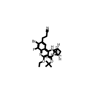 CCOc1nc2c(F)c(Br)c(CCC#N)cc2c(N[C@H]2[C@@H]3C[C@H]2N(C(=O)OC(C)(C)C)C3)c1I